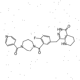 O=C(c1ccncc1)N1CCCN(C(=O)c2cc(Cc3n[nH]c(=O)c4c3NCCC4)ccc2F)CC1